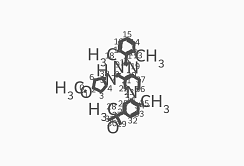 CO[C@H]1CC2[C@@H](C1)N2c1nc(-c2c(C)cccc2C)nc2c1CN(c1cc(C3(C)COC3)ccc1C)CC2